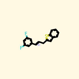 Fc1cc(F)cc(/C=C/Cc2cc3ccccc3s2)c1